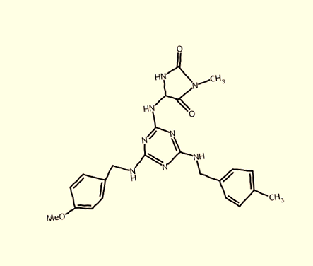 COc1ccc(CNc2nc(NCc3ccc(C)cc3)nc(NC3NC(=O)N(C)C3=O)n2)cc1